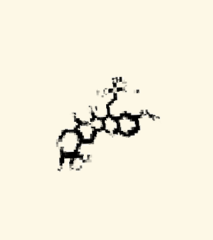 CCOc1ccc2nc3c(c(CC[Si](C)(C)C)c2c1)C(O)n1c-3cc2c(c1=O)COC(=O)C2(CC)N=O